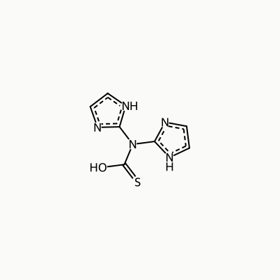 OC(=S)N(c1ncc[nH]1)c1ncc[nH]1